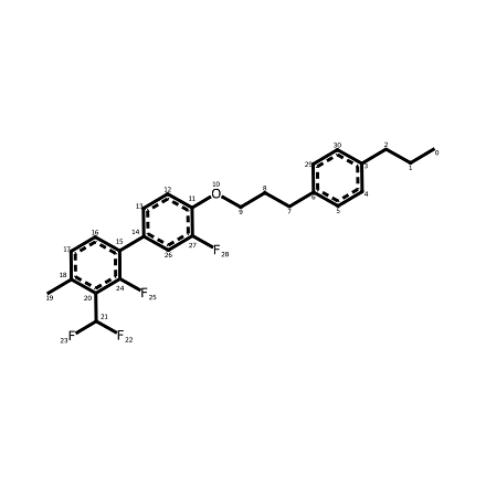 CCCc1ccc(CCCOc2ccc(-c3ccc(C)c(C(F)F)c3F)cc2F)cc1